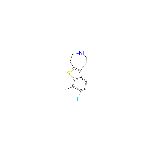 Cc1c(F)ccc2c3c(sc12)CCNCC3